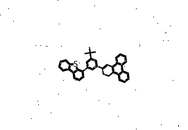 CC(C)(C)c1cc(C2=Cc3c(c4ccccc4c4ccccc34)CC2)cc(-c2cccc3c2sc2ccccc23)c1